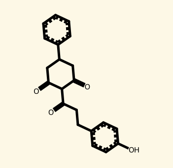 O=C(CCc1ccc(O)cc1)C1C(=O)CC(c2ccccc2)CC1=O